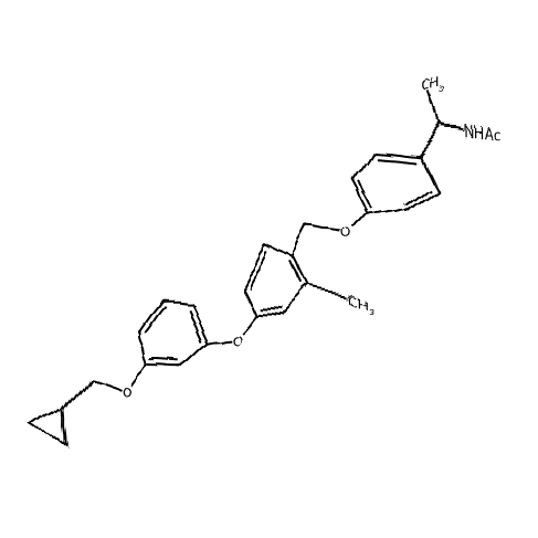 CC(=O)NC(C)c1ccc(OCc2ccc(Oc3cccc(OCC4CC4)c3)cc2C)cc1